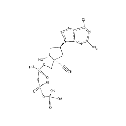 C#C[C@@]1(COP(=O)(O)OP(=O)(O)OP(=O)(O)O)C[C@H](n2cnc3c(Cl)nc(N)nc32)C[C@H]1O